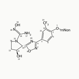 CCCCCCCCCOc1ccc(-c2noc([C@@H]3[C@@H](O)CCN3/C(N)=N/O)n2)cc1C(F)(F)F